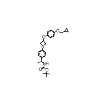 C[C@H](NC(=O)OC(C)(C)C)c1ccc(N2CC(Oc3ccc(OCC4CC4)cc3)C2)cc1